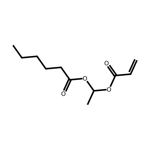 C=CC(=O)OC(C)OC(=O)CCCCC